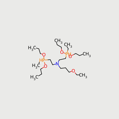 CCCO[PH](CC)(CCN(CCCOCC)CC[PH](CC)(OCCC)OCCC)OCCC